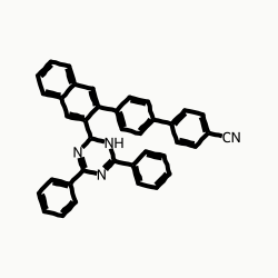 N#Cc1ccc(-c2ccc(-c3cc4ccccc4cc3C3N=C(c4ccccc4)N=C(c4ccccc4)N3)cc2)cc1